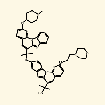 CN1CCC(Nc2ccc3cc(C(C)(C)Oc4ccc5c(c4)nc4c(C(C)(C)O)cc6ccc(NCCN7CCOCC7)nc6n45)c4nc5ccccc5n4c3n2)CC1